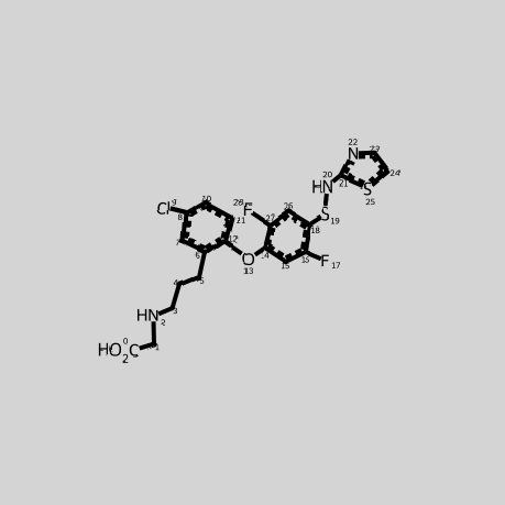 O=C(O)CNCCCc1cc(Cl)ccc1Oc1cc(F)c(SNc2nccs2)cc1F